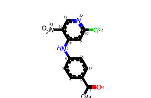 COC(=O)c1ccc(Nc2cc(Cl)ncc2[N+](=O)[O-])cc1